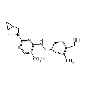 Cc1cc(CNc2nc(N3CC4CC4C3)ncc2C(=O)O)ccc1CO